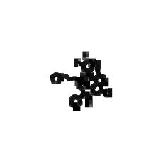 N#Cc1cnc2c(Cl)cc(N[C@@H](c3cccnc3)c3cn(CCCN4CCCC4)nn3)cc2c1Nc1cnc(F)c(F)c1